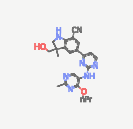 CCCOc1nc(C)ncc1Nc1nccc(-c2cc(C#N)c3c(c2)C(C)(CO)CN3)n1